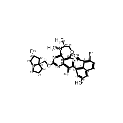 C#Cc1c(F)ccc2cc(O)cc(-c3nc4c5c(nc(OC[C@@]67CCCN6C[C@H](F)C7)nc5c3F)N(C)[C@@H](C)CO4)c12